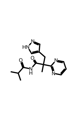 CC(C)C(=O)NC(=O)C(C)(Cc1cn[nH]c1)c1ncccn1